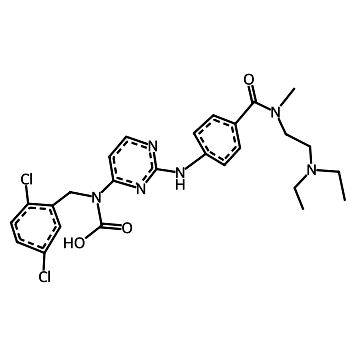 CCN(CC)CCN(C)C(=O)c1ccc(Nc2nccc(N(Cc3cc(Cl)ccc3Cl)C(=O)O)n2)cc1